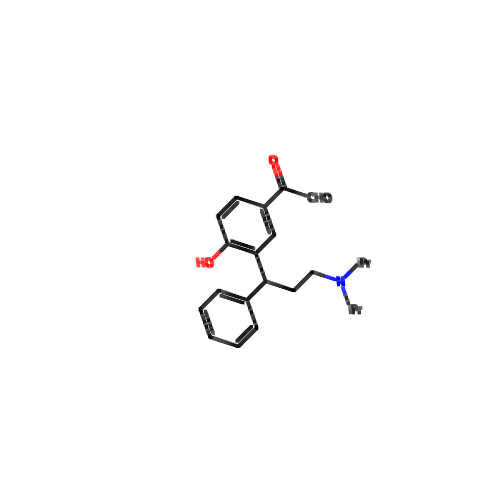 CC(C)N(CCC(c1ccccc1)c1cc(C(=O)C=O)ccc1O)C(C)C